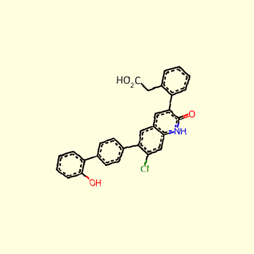 O=C(O)Cc1ccccc1-c1cc2cc(-c3ccc(-c4ccccc4O)cc3)c(Cl)cc2[nH]c1=O